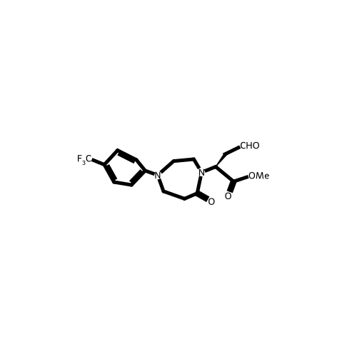 COC(=O)[C@H](CC=O)N1CCN(c2ccc(C(F)(F)F)cc2)CCC1=O